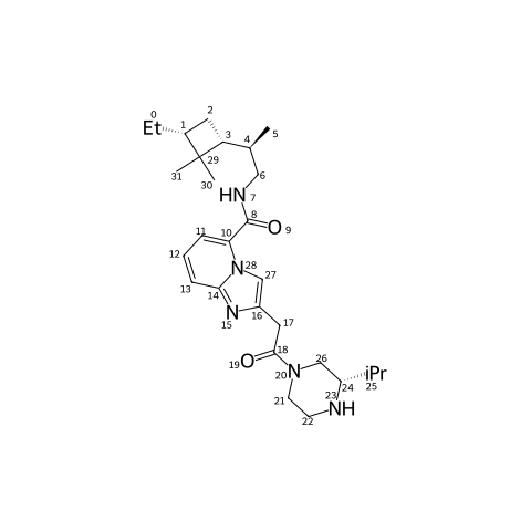 CC[C@@H]1C[C@H]([C@@H](C)CNC(=O)c2cccc3nc(CC(=O)N4CCN[C@@H](C(C)C)C4)cn23)C1(C)C